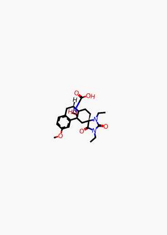 CCN1C(=O)N(CC)[C@]2(CC[C@@]3(O)[C@H]4Cc5ccc(OC)cc5[C@@]3(CCN4C(=O)O)C2)C1=O